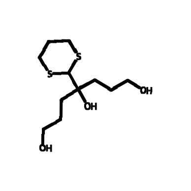 OCCCC(O)(CCCO)C1SCCCS1